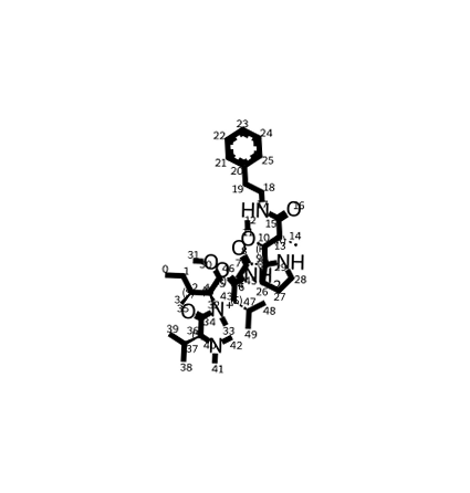 CC[C@H](C)[C@@H]([C@@H](CC(=O)[C@@]1([C@H](OC)[C@@H](C)C(=O)NCCc2ccccc2)CCCN1)OC)[N+](C)(C(=O)[C@H](C(C)C)N(C)C)[C@H](C(N)=O)C(C)C